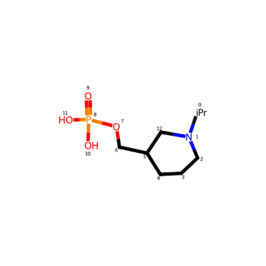 CC(C)N1CCCC(COP(=O)(O)O)C1